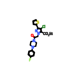 CCOC(=O)c1c(Cl)c(-c2cccs2)nn1CC(=O)N1CCN(c2ccc(F)cc2)CC1